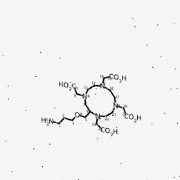 NCCCOCC1CN(CC(=O)O)CCN(CC(=O)O)CCN(CC(=O)O)CCN1CC(=O)O